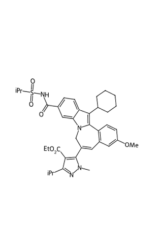 CCOC(=O)c1c(C(C)C)nn(C)c1C1=Cc2cc(OC)ccc2-c2c(C3CCCCC3)c3ccc(C(=O)NS(=O)(=O)C(C)C)cc3n2C1